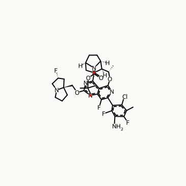 Cc1c(F)c(N)c(F)c(-c2nc3c4c(nc(OC[C@@]56CCCN5C[C@H](F)C6)nc4c2F)N2C[C@H]4CC[C@@H]([C@H]2[C@H](C)O3)N4C(=O)OC(C)(C)C)c1Cl